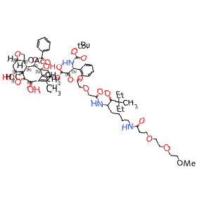 CCC(C)(CC)C(=O)C(CCCCNC(=O)CCOCCOCCOC)NC(=O)COCC(=O)O[C@@H](C(=O)O[C@H]1C[C@@]2(O)[C@@H](OC(=O)c3ccccc3)[C@@H]3[C@]4(OC(C)=O)CO[C@@H]4C[C@H](O)[C@@]3(C)C(=O)[C@H](O)C(=C1C)C2(C)C)[C@@H](NC(=O)OC(C)(C)C)c1ccccc1